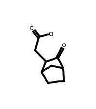 O=C(Cl)CC1C(=O)C2CCC1C2